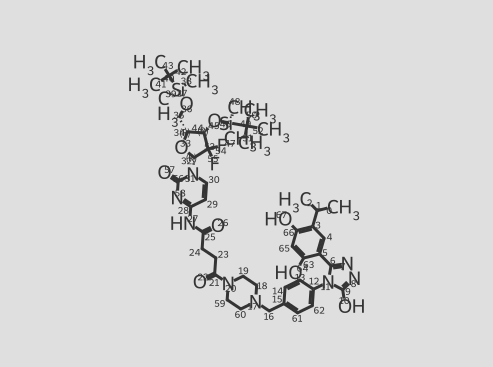 CC(C)c1cc(-c2nnc(O)n2-c2ccc(CN3CCN(C(=O)CCC(=O)Nc4ccn([C@@H]5O[C@H](CO[Si](C)(C)C(C)(C)C)[C@@H](O[Si](C)(C)C(C)(C)C)C5(F)F)c(=O)n4)CC3)cc2)c(O)cc1O